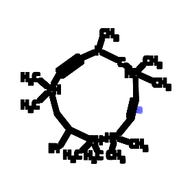 CC(C)C1C[PH](C)(C)C#CP(C)C[PH](C)(C)/C=C\[PH](C)(C)[PH]1(C)C